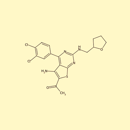 CC(=O)c1sc2nc(NCC3CCCO3)nc(-c3ccc(Cl)c(Cl)c3)c2c1N